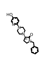 O=C1[C@H](N2CCN(c3ccc(O)cn3)CC2)CCN1Cc1ccccc1